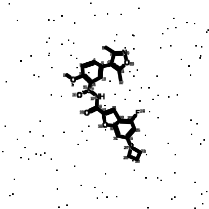 COc1ccc(-c2c(C)noc2C)cc1[S+]([O-])NC(=O)c1cc2c(F)cc(N3CCC3)cc2o1